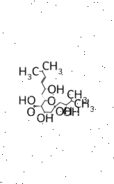 CC(C)/C=C/[C@H](O)C[C@@H]1O[C@](O)(C[C@@H](O)C(C)C)C[C@H](O)[C@H]1C(=O)O